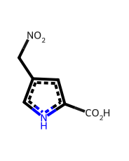 O=C(O)c1cc(C[N+](=O)[O-])c[nH]1